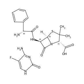 CC1(C)S[C@@H]2[C@H](NC(=O)[C@H](N)c3ccccc3)C(=O)N2[C@H]1C(=O)O.Nc1nc(=O)[nH]cc1F